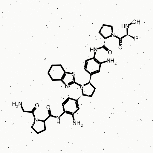 CC(C)[C@H](NO)C(=O)N1CCC[C@H]1C(=O)Nc1ccc([C@H]2CC[C@H](c3ccc(NC(=O)C4CCCN4C(=O)CN)c(N)c3)N2c2nc3c(s2)CCCC3)cc1N